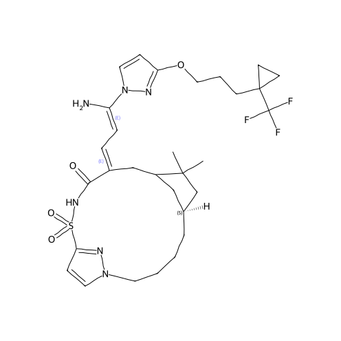 CC1(C)C[C@H]2CCCCn3ccc(n3)S(=O)(=O)NC(=O)/C(=C/C=C(\N)n3ccc(OCCCC4(C(F)(F)F)CC4)n3)CC1C2